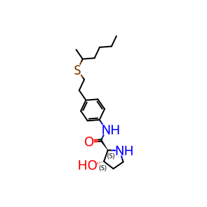 CCCCC(C)SCCc1ccc(NC(=O)[C@H]2NCC[C@@H]2O)cc1